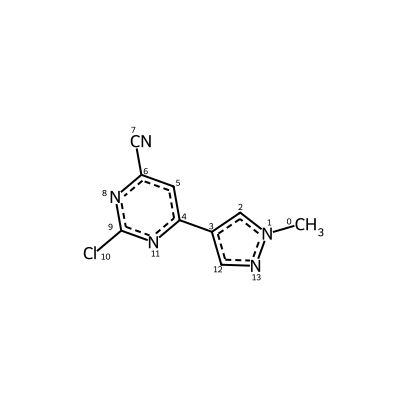 Cn1cc(-c2cc(C#N)nc(Cl)n2)cn1